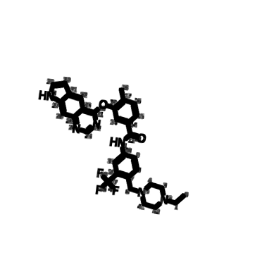 CCN1CCN(Cc2ccc(NC(=O)c3ccc(C)c(Oc4ncnc5cc6[nH]ccc6cc45)c3)cc2C(F)(F)F)CC1